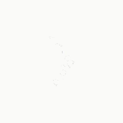 COCC(=O)NC/C=C/c1ccc2ncnc(Nc3ccc(Oc4cccnc4)c(C)c3)c2c1